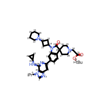 CC(C)n1cnc2cc(-c3ccc4c(c3)N(C3CC(N5CCCCC5)C3)C(=O)C43CCN(CC(=O)OC(C)(C)C)CC3)nc(NC3CC3)c21